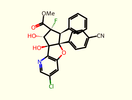 COC(=O)[C@]1(F)[C@@H](O)[C@@]2(O)c3ncc(Cl)cc3O[C@@]2(c2ccc(C#N)cc2)[C@@H]1c1ccccc1